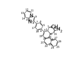 C=CC1C(c2ccc(-c3cn4ccccc4n3)cc2)=Cc2ccc3ccccc3c2C1C=C